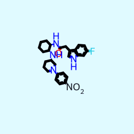 O=C(Cc1c[nH]c2cc(F)ccc12)N[C@@H]1CCCC[C@H]1N[C@H]1CCCN(c2ccc([N+](=O)[O-])cc2)C1